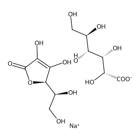 O=C([O-])[C@H](O)[C@@H](O)[C@H](O)[C@H](O)CO.O=C1O[C@H]([C@@H](O)CO)C(O)=C1O.[Na+]